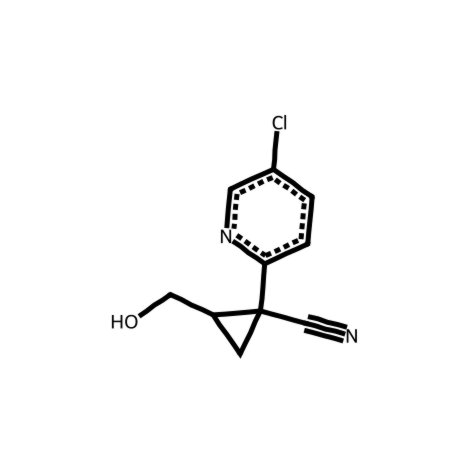 N#CC1(c2ccc(Cl)cn2)CC1CO